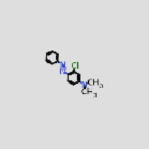 CN(C)c1ccc(/N=N/c2ccccc2)c(Cl)c1